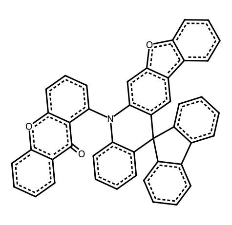 O=c1c2ccccc2oc2cccc(N3c4ccccc4C4(c5ccccc5-c5ccccc54)c4cc5c(cc43)oc3ccccc35)c12